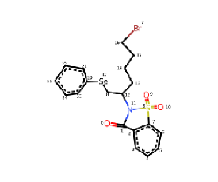 O=C1c2ccccc2S(=O)(=O)N1C(CCCCBr)C[Se]c1ccccc1